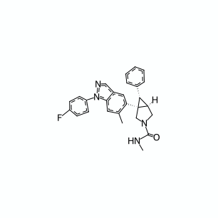 CNC(=O)N1C[C@@H]2[C@@H](c3ccccc3)[C@]2(c2cc3cnn(-c4ccc(F)cc4)c3cc2C)C1